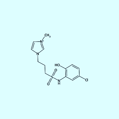 C[n+]1ccn(CCCS(=O)(=O)Nc2cc(Cl)ccc2O)c1